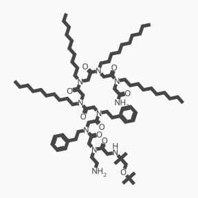 CCCCCCCCCCN(CC(N)=O)C(=O)CN(CCCCCCCCCC)C(=O)CN(CCCCCCCCCC)C(=O)CN(CCCCCCCCCC)C(=O)CN(CCc1ccccc1)C(=O)CN(CCc1ccccc1)C(=O)CN(CCN)C(=O)CNC(C)(C)COC(C)(C)C